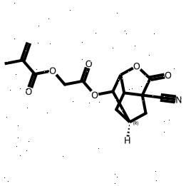 C=C(C)C(=O)OCC(=O)OC1C2OC(=O)C3(C#N)C[C@H]1CC23